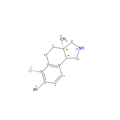 CC(C)c1ccc2c(c1Cl)CC[C@@]1(C)CNCC21